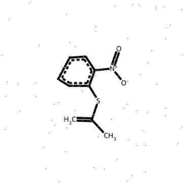 C=C(C)Sc1cc[c]cc1[N+](=O)[O-]